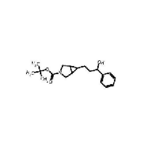 CC(C)(C)OC(=O)N1CC2C(CCC(O)c3ccccc3)C2C1